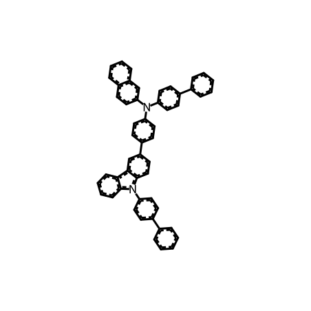 c1ccc(-c2ccc(N(c3ccc(-c4ccc5c(c4)c4ccccc4n5-c4ccc(-c5ccccc5)cc4)cc3)c3ccc4ccccc4c3)cc2)cc1